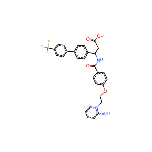 N=c1ccccn1CCOc1ccc(C(=O)NC(CC(=O)O)c2ccc(-c3ccc(C(F)(F)F)cc3)cc2)cc1